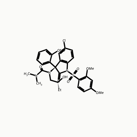 CC[C@@H](O)CN(C(=O)N(C)C)[C@]1(c2ccccc2OC)C(=O)N(S(=O)(=O)c2ccc(OC)cc2OC)c2ccc(Cl)cc21